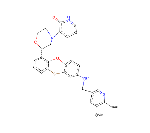 COc1cc(CNc2ccc3c(c2)Sc2cccc(C4CN(c5ccc[nH]c5=O)CCO4)c2O3)cnc1OC